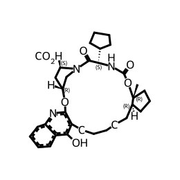 C[C@@]12CCC[C@H]1CCCCCc1c(nc3ccccc3c1O)O[C@@H]1C[C@@H](C(=O)O)N(C1)C(=O)[C@H](C1CCCC1)NC(=O)O2